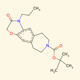 CCCN1C(=O)COc2cc3c(cc21)CCN(C(=O)OC(C)(C)C)CC3